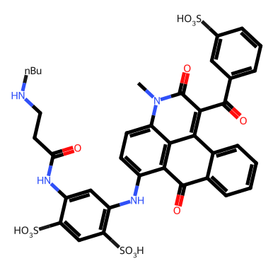 CCCCNCCC(=O)Nc1cc(Nc2ccc3c4c2C(=O)c2ccccc2-c4c(C(=O)c2cccc(S(=O)(=O)O)c2)c(=O)n3C)c(S(=O)(=O)O)cc1S(=O)(=O)O